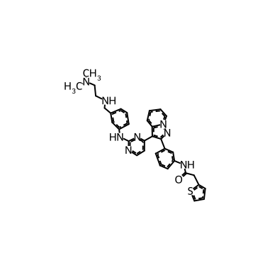 CN(C)CCNCc1cccc(Nc2nccc(-c3c(-c4cccc(NC(=O)Cc5cccs5)c4)nn4ccccc34)n2)c1